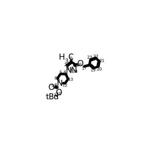 Cc1cn(C2CCN(C(=O)OC(C)(C)C)CC2)nc1OCc1ccccc1